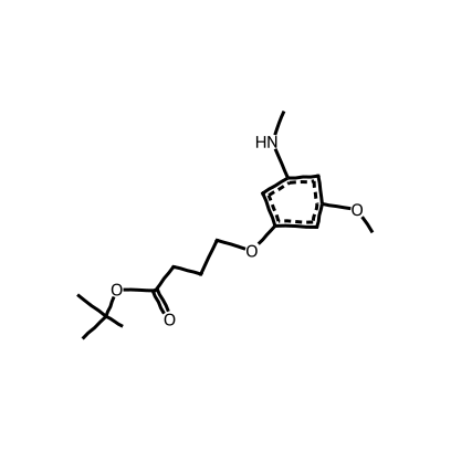 CNc1cc(OC)cc(OCCCC(=O)OC(C)(C)C)c1